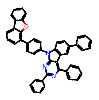 c1ccc(-c2ccc3c(c2)c2c(-c4ccccc4)nc(-c4ccccc4)nc2n3-c2ccc(-c3cccc4c3oc3ccccc34)cc2)cc1